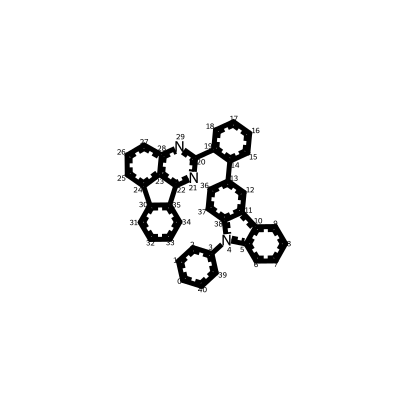 c1ccc(-n2c3ccccc3c3cc(-c4ccccc4-c4nc5c6c(cccc6n4)-c4ccccc4-5)ccc32)cc1